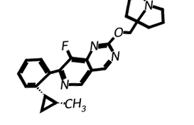 C[C@@H]1C[C@@H]1c1ccccc1-c1ncc2cnc(OCC34CCCN3CCC4)nc2c1F